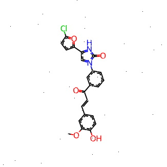 COc1cc(C=CC(=O)c2cccc(-n3cc(-c4ccc(Cl)o4)[nH]c3=O)c2)ccc1O